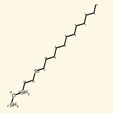 CCCCCCCCCCCCSCC[SiH2]O[SiH3]